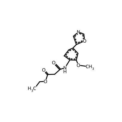 CCOC(=O)CC(=O)Nc1ccc(-c2cnco2)cc1OC